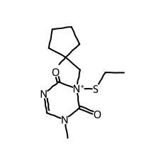 CCS[N+]1(CC2(C)CCCC2)C(=O)N=CN(C)C1=O